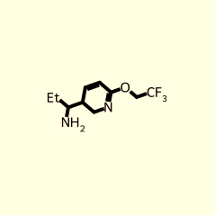 CCC(N)C1C=CC(OCC(F)(F)F)=NC1